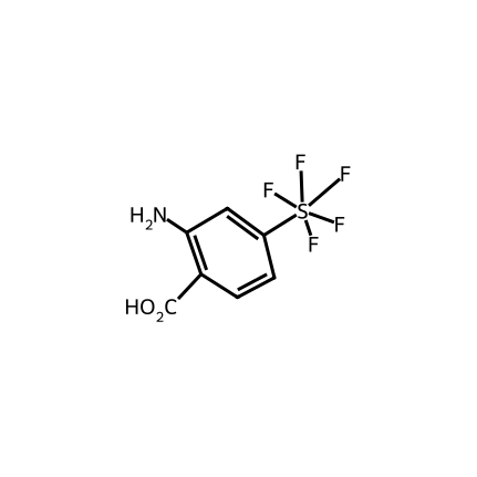 Nc1cc(S(F)(F)(F)(F)F)ccc1C(=O)O